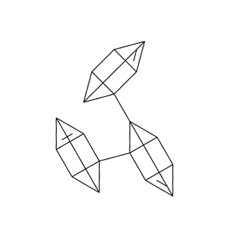 C12=C3C1C1C2C31C12C3=C4C3C1C42C12C3=C4C3C1C42